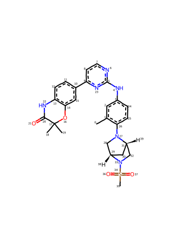 Cc1cc(Nc2nccc(-c3ccc4c(c3)OC(C)(C)C(=O)N4)n2)ccc1N1C[C@@H]2C[C@H]1CN2S(C)(=O)=O